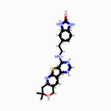 CC1(C)Cc2nc3sc4c(NCCc5ccc6[nH]c(=O)[nH]c6c5)ncnc4c3cc2CO1